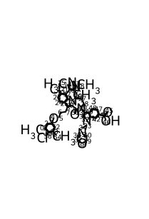 Cc1cc(OCCCc2c3n(c4c(-c5c(C)nn(C)c5C)c(Cl)ccc24)CCCN(c2cn(CCN4CCOCC4)c4cc(C(=O)O)ccc24)C3=O)cc(C)c1Cl